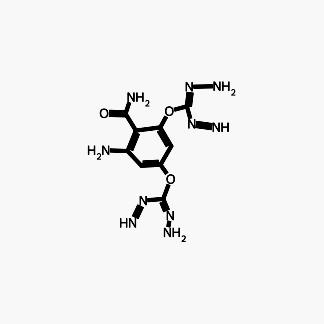 N=NC(=NN)Oc1cc(N)c(C(N)=O)c(OC(N=N)=NN)c1